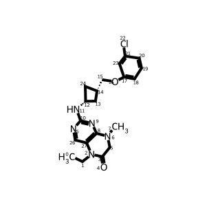 CCN1C(=O)CN(C)c2nc(N[C@H]3C[C@@H](COc4cccc(Cl)c4)C3)ncc21